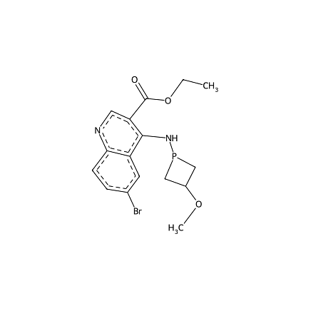 CCOC(=O)c1cnc2ccc(Br)cc2c1NP1CC(OC)C1